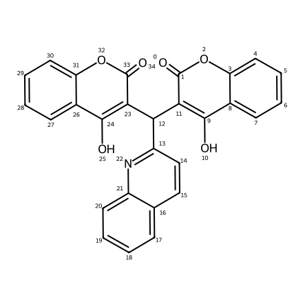 O=c1oc2ccccc2c(O)c1C(c1ccc2ccccc2n1)c1c(O)c2ccccc2oc1=O